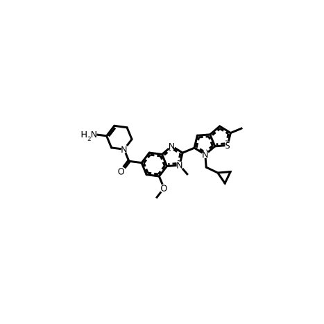 COc1cc(C(=O)N2CCC=C(N)C2)cc2nc(-c3cc4cc(C)sc4n3CC3CC3)n(C)c12